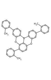 Cc1ccccc1-c1ccc2c(c1)Oc1ccc(-c3ccccc3C)c3c1B2c1ccc(-c2ccccc2C)cc1O3